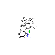 CC(C)(C)c1c(Cl)c(-c2ccccc2N)[c]([Pd])c(C(C)(C)C)c1C(C)(C)C